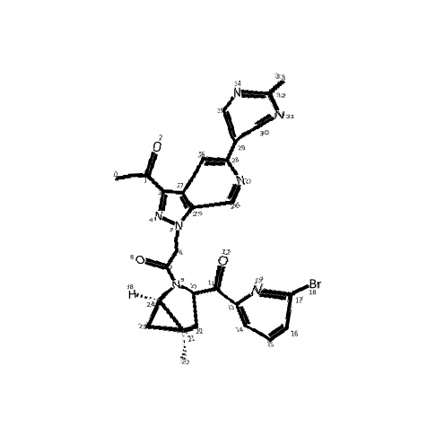 CC(=O)c1nn(CC(=O)N2C(C(=O)c3cccc(Br)n3)C[C@@]3(C)C[C@@H]23)c2cnc(-c3cnc(C)nc3)cc12